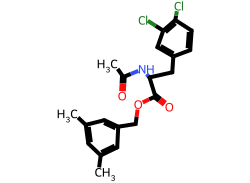 CC(=O)NC(Cc1ccc(Cl)c(Cl)c1)C(=O)OCc1cc(C)cc(C)c1